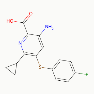 Nc1cc(Sc2ccc(F)cc2)c(C2CC2)nc1C(=O)O